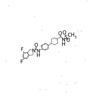 CS(=O)(=O)NC(=O)C1CCC(c2ccc(NC(=O)N3Cc4cc(F)cc(F)c4C3)cc2)CC1